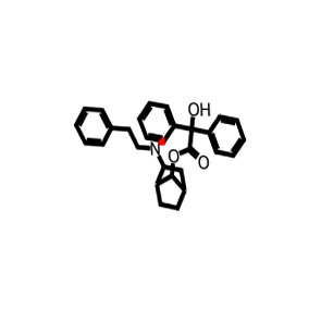 CN(CCc1ccccc1)C1CC2CCC1C2OC(=O)C(O)(c1ccccc1)c1ccccc1